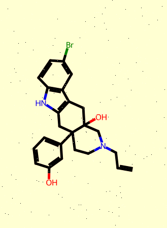 C=CCN1CCC2(c3cccc(O)c3)Cc3[nH]c4ccc(Br)cc4c3CC2(O)C1